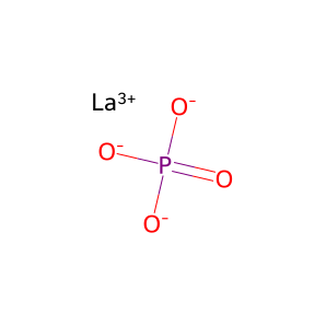 O=P([O-])([O-])[O-].[La+3]